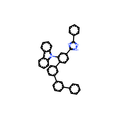 c1ccc(-c2cccc(-c3cccc(-c4ccc(-c5nc(-c6ccccc6)n[nH]5)cc4-n4c5ccccc5c5ccccc54)c3)c2)cc1